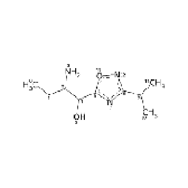 CCC(N)C(O)c1nc(C(C)C)no1